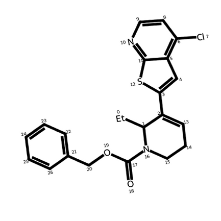 CCC1C(c2cc3c(Cl)ccnc3s2)=CCCN1C(=O)OCc1ccccc1